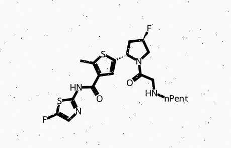 CCCCCNCC(=O)N1C[C@H](F)C[C@H]1c1cc(C(=O)Nc2ncc(F)s2)c(C)s1